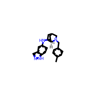 Cc1ccc(CN2CC3CC[C@H]2C(Nc2ccc4[nH]ncc4c2)C3)cc1